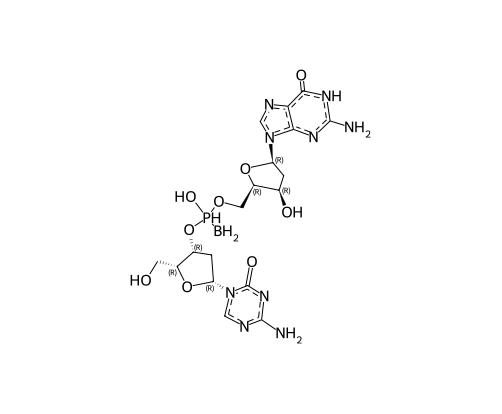 B[PH](O)(OC[C@H]1O[C@@H](n2cnc3c(=O)[nH]c(N)nc32)C[C@H]1O)O[C@@H]1C[C@H](n2cnc(N)nc2=O)O[C@@H]1CO